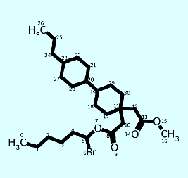 CCCCCC(Br)OC(=O)CC1(CC(=O)OC)CCC(C2CCC(CCC)CC2)CC1